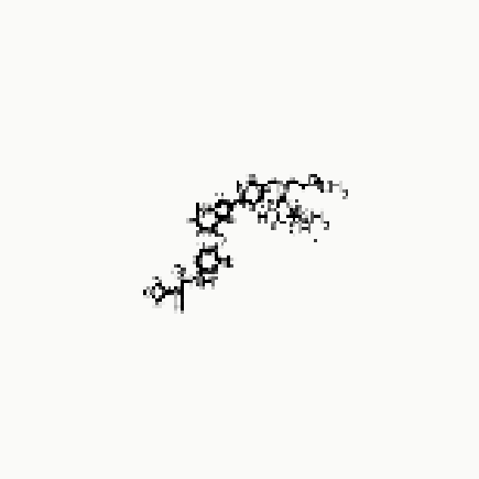 COCCN(Cc1ccc(-c2cc3nccc(Oc4ccc(NC(=O)NC5COC5)cc4F)c3s2)nc1)C(=O)OC(C)(C)C